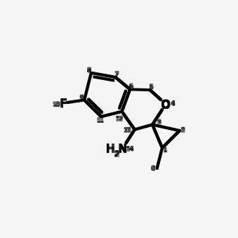 CC1CC12OCc1ccc(F)cc1C2N